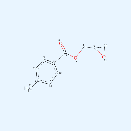 Cc1ccc(C(=O)OCC2CO2)cc1